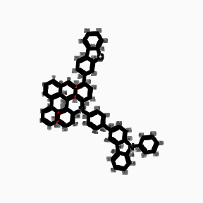 c1ccc(-c2cccc3cccc(-c4ccccc4N(c4ccc(-c5ccc6c(c5)oc5ccccc56)cc4)c4ccc(-c5ccc6c(c5)c5ccccc5n6-c5ccccc5)cc4)c23)cc1